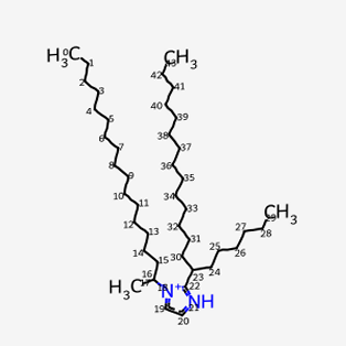 CCCCCCCCCCCCCCCCC(C)[n+]1cc[nH]c1C(CCCCCC)CCCCCCCCCCCCCC